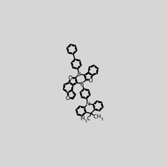 CC1(C)c2ccccc2N(c2ccc(B3c4oc5ccccc5c4B(c4ccc(-c5ccccc5)cc4)c4oc5ccc6occc6c5c43)cc2)c2ccccc21